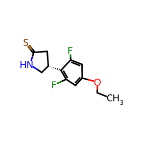 CCOc1cc(F)c([C@@H]2CNC(=S)C2)c(F)c1